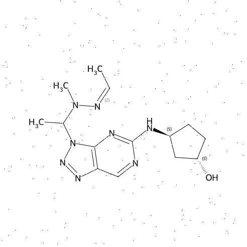 C/C=N\N(C)C(C)n1nnc2cnc(N[C@H]3CC[C@H](O)C3)nc21